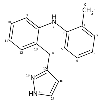 [CH2]c1ccccc1Nc1ccccc1Cc1cc[nH]n1